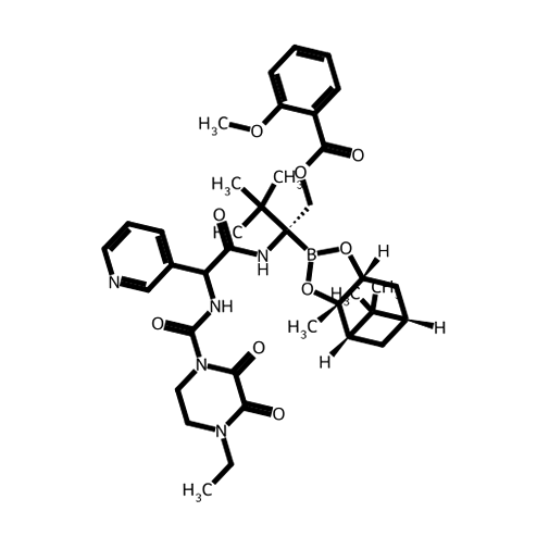 CCN1CCN(C(=O)NC(C(=O)N[C@](COC(=O)c2ccccc2OC)(B2O[C@@H]3C[C@@H]4C[C@@H](C4(C)C)[C@]3(C)O2)C(C)(C)C)c2cccnc2)C(=O)C1=O